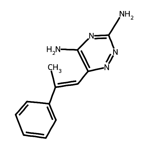 CC(=Cc1nnc(N)nc1N)c1ccccc1